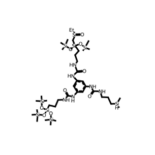 CC[Si](=O)C[Si](CCCNC(=O)Nc1cc(NC(=O)NCCC[SiH](C)C)cc(NC(=O)NCCC[Si](O[Si](C)(C)C)(O[Si](C)(C)C)O[Si](C)(C)C)c1)(O[Si](C)(C)C)O[Si](C)(C)C